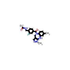 CCC(=O)NCc1ccc(C(=O)N2Cc3cnn(C)c3Nc3cc(C)ccc32)cc1F